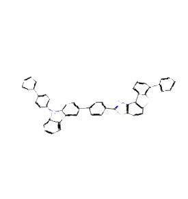 c1ccc(-c2ccc(-n3c4ccccc4c4cc(-c5ccc(-c6nc7c(ccc8sc9c(-c%10ccccc%10)cccc9c87)s6)cc5)ccc43)cc2)cc1